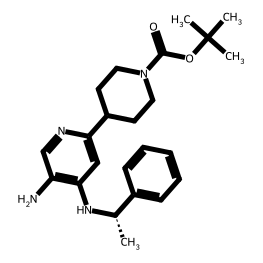 C[C@H](Nc1cc(C2CCN(C(=O)OC(C)(C)C)CC2)ncc1N)c1ccccc1